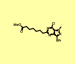 CCCc1nn(C)c2c(Cl)nc(CCCCCCC(=O)OC)nc12